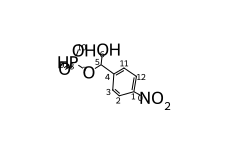 O=[N+]([O-])c1ccc(C(O)O[PH](=O)O)cc1